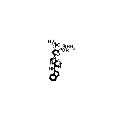 CC(=O)O[C@H]1C[C@H](n2cnc3c(N[C@H]4CCc5ccccc54)ncnc32)O[C@H]1COS(N)(=O)=O